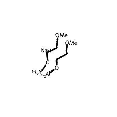 COCC[O][AlH2].COCC[O][AlH2].[NaH]